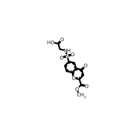 COC(=O)c1cc(=O)c2cc(S(=O)(=O)NCC(=O)O)ccc2o1